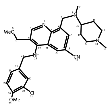 COCc1cnc2c(CN(C)C3CCN(C)CC3)cc(C#N)cc2c1NCc1ccc(OC)c(Cl)c1